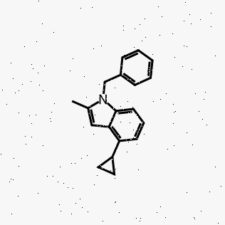 Cc1cc2c(C3CC3)cccc2n1Cc1ccccc1